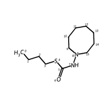 CCCCSC(=O)NN1CCCCCCC1